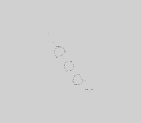 CCCc1ccc(-c2ccc(-c3cc(F)c(N=C=S)c(F)c3)cc2)cc1